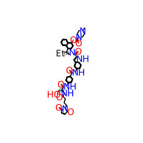 CC[C@@H]1CN(C(=O)c2cc3cc(NC(=O)c4ccc(NC(=O)[C@H](CO)NC(=O)CCCN5C(=O)C=CC5=O)cc4)ccc3[nH]2)c2cc(OC(=O)N3CCN(C)CC3)c3ccccc3c21